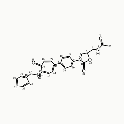 CC(=O)NCC1CN(c2ccc(-c3ccc(NCc4ccccc4)c(=O)cc3)cc2)C(=O)O1